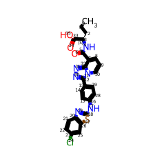 CCC[C@H](NC(=O)c1cccn2c(-c3ccc(Nc4nc5ccc(Cl)cc5s4)cc3)nnc12)C(=O)O